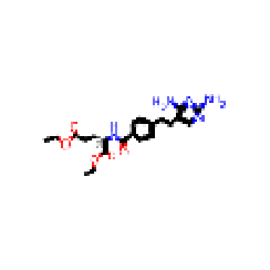 CCOC(=O)CC[C@H](NC(=O)c1ccc(CCc2cnc(N)nc2N)cc1)C(=O)OCC